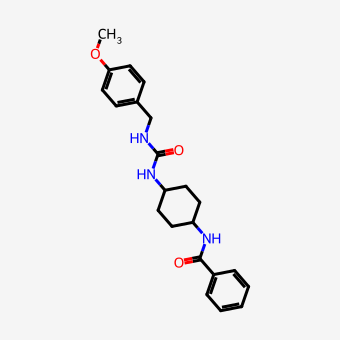 COc1ccc(CNC(=O)NC2CCC(NC(=O)c3ccccc3)CC2)cc1